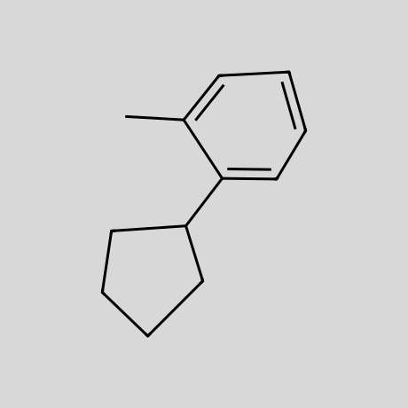 Cc1ccccc1C1CCCC1